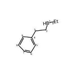 CCBCCc1ccccc1